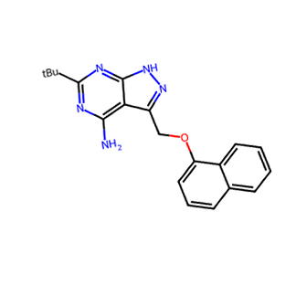 CC(C)(C)c1nc(N)c2c(COc3cccc4ccccc34)n[nH]c2n1